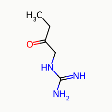 CCC(=O)CNC(=N)N